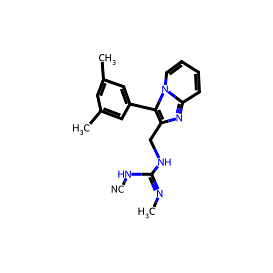 C/N=C(\NC#N)NCc1nc2ccccn2c1-c1cc(C)cc(C)c1